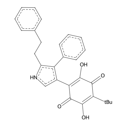 CC(C)(C)C1=C(O)C(=O)C(c2c[nH]c(CCc3ccccc3)c2-c2ccccc2)=C(O)C1=O